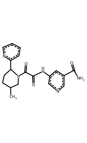 CC1CCC(c2ccccn2)N(C(=O)C(=O)Nc2cncc(C(N)=O)c2)C1